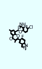 Cc1cc([C@@H](C)Oc2ccc(Cl)nc2C(N)=O)c2oc(-c3cc4cn(C)nc4cc3F)c(C)c(=O)c2c1